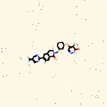 O=c1[nH]ncc(O[C@H]2CCC[C@@H](Cn3ccc4cc(-c5ncc(C(F)F)cn5)c(F)cc4c3=O)C2)c1C(F)(F)F